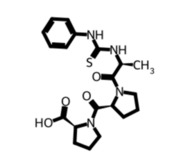 C[C@H](NC(=S)Nc1ccccc1)C(=O)N1CCC[C@H]1C(=O)N1CCC[C@H]1C(=O)O